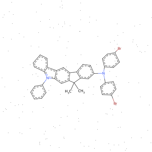 CC1(C)c2cc(N(c3ccc(Br)cc3)c3ccc(Br)cc3)ccc2-c2cc3c4ccccc4n(-c4ccccc4)c3cc21